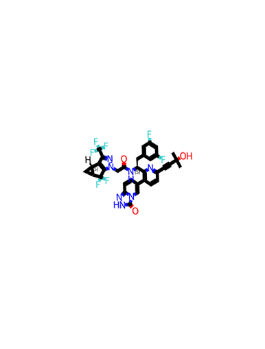 CC(C)(O)C#Cc1ccc(-c2ccc3n[nH]c(=O)n3c2)c([C@H](Cc2cc(F)cc(F)c2)NC(=O)Cn2nc(C(F)(F)F)c3c2C(F)(F)C2C[C@H]32)n1